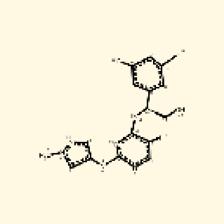 Cn1cc(Nc2ncc(F)c(N[C@H](CO)c3cc(F)cc(F)c3)n2)cn1